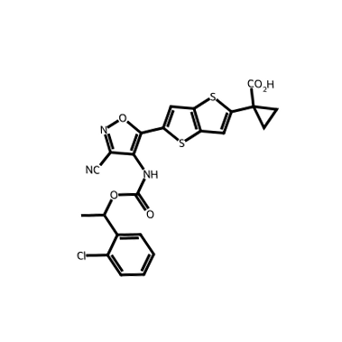 CC(OC(=O)Nc1c(C#N)noc1-c1cc2sc(C3(C(=O)O)CC3)cc2s1)c1ccccc1Cl